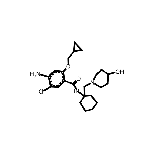 Nc1cc(OCC2CC2)c(C(=O)NC2(CN3CCC(O)CC3)CCCCC2)cc1Cl